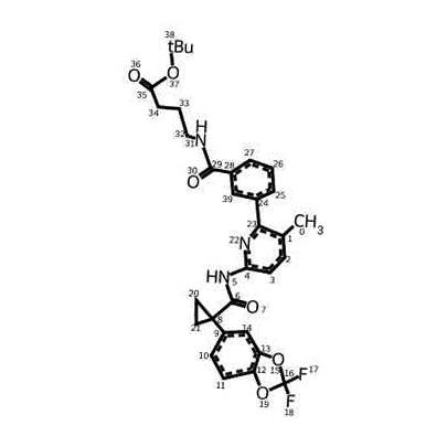 Cc1ccc(NC(=O)C2(c3ccc4c(c3)OC(F)(F)O4)CC2)nc1-c1cccc(C(=O)NCCCC(=O)OC(C)(C)C)c1